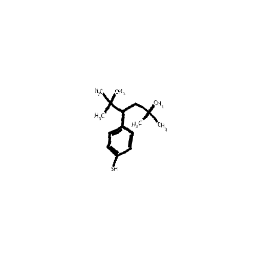 CC(C)(C)CC(c1ccc(S)cc1)C(C)(C)C